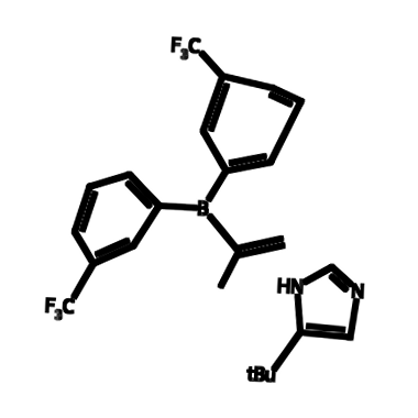 C=C(C)B(c1cccc(C(F)(F)F)c1)c1cccc(C(F)(F)F)c1.CC(C)(C)c1cnc[nH]1